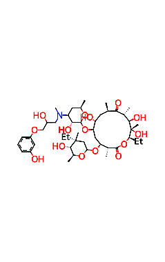 CC[C@H]1OC(=O)[C@H](C)[C@@H](OC2C[C@@](C)(CC)[C@@H](O)[C@H](C)O2)C[C@@H](OC2O[C@H](C)C[C@H](N(C)CC(O)COc3cccc(O)c3)[C@H]2O)[C@H](O)C[C@@H](C)C(=O)[C@H](C)[C@@H](O)[C@]1(C)O